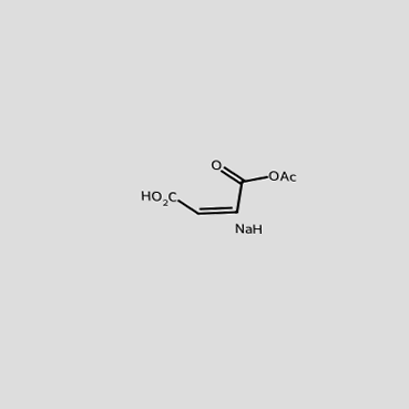 CC(=O)OC(=O)/C=C\C(=O)O.[NaH]